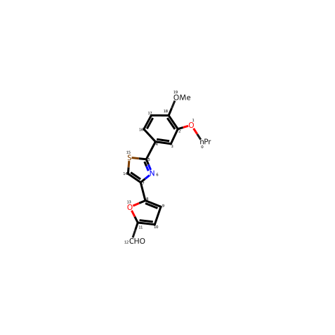 CCCOc1cc(-c2nc(-c3ccc(C=O)o3)cs2)ccc1OC